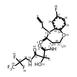 C=CCN1C(=O)[C@@H](NC(=O)C(C)(O)C(=O)NCC(F)(F)C(F)(F)F)[C@@H](C)Oc2ccc(F)cc21